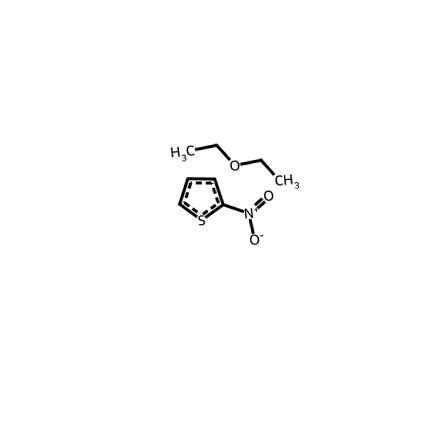 CCOCC.O=[N+]([O-])c1cccs1